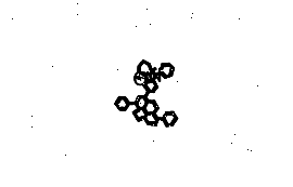 CO[C@]12CCCCC1(C)N(c1ccccc1)c1ccc(-c3cc(-c4ccccc4)c4ccc5ccc(-c6ccccc6)c6ccc3c4c56)cc12